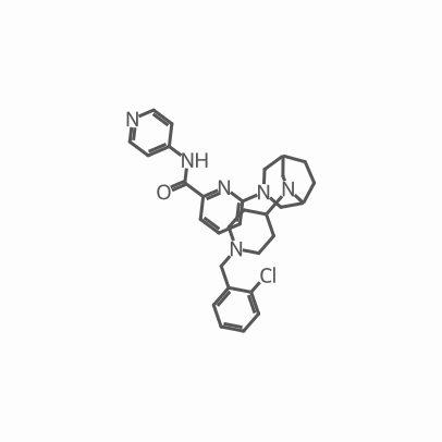 O=C(Nc1ccncc1)c1cccc(N2CC3CCC(C2)N(C2CCN(Cc4ccccc4Cl)CC2)C3)n1